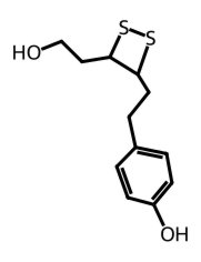 OCCC1SSC1CCc1ccc(O)cc1